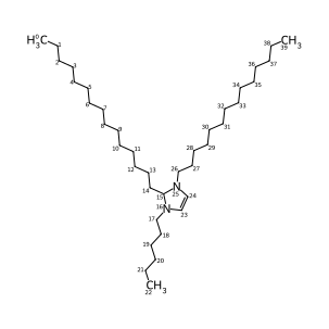 CCCCCCCCCCCCCCCC1N(CCCCCC)C=CN1CCCCCCCCCCCCCC